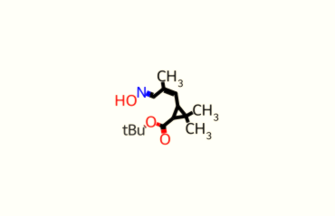 CC(=C/C1C(C(=O)OC(C)(C)C)C1(C)C)/C=N/O